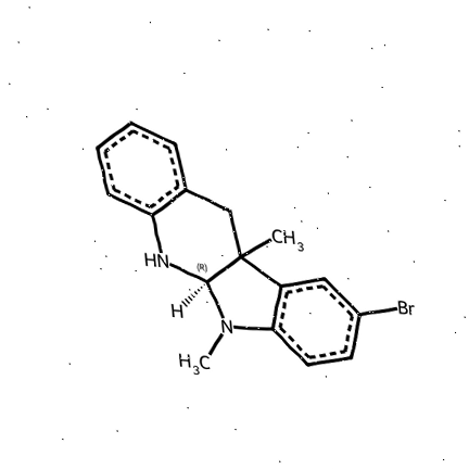 CN1c2ccc(Br)cc2C2(C)Cc3ccccc3N[C@H]12